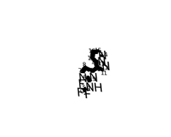 FC(F)(F)Nc1nccc(-c2cnn3ncccc23)n1